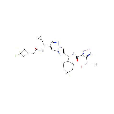 C[C@H](O)c1nonc1C(=O)N[C@H](c1cn2ncc([C@H](NC(=O)CC3CC(F)(F)C3)C3CC3)cc2n1)C1CCC(F)(F)CC1